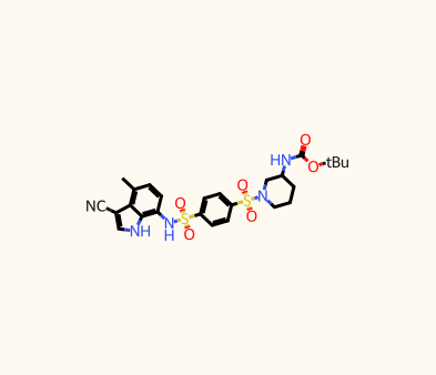 Cc1ccc(NS(=O)(=O)c2ccc(S(=O)(=O)N3CCCC(NC(=O)OC(C)(C)C)C3)cc2)c2[nH]cc(C#N)c12